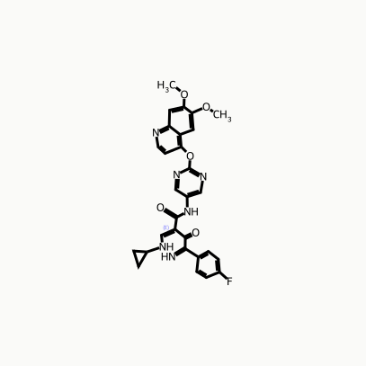 COc1cc2nccc(Oc3ncc(NC(=O)/C(=C/NC4CC4)C(=O)C(=N)c4ccc(F)cc4)cn3)c2cc1OC